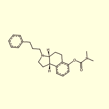 CN(C)C(=O)Oc1cccc2c1CC[C@@H]1[C@H]2CCN1CCCc1ccccc1